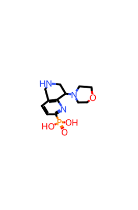 O=P(O)(O)c1ccc2c(n1)C(N1CCOCC1)CNC2